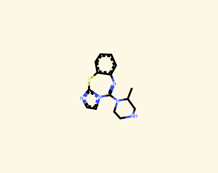 CC1CNCCN1C1=Nc2ccccc2Sc2nccn21